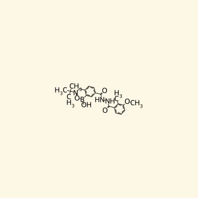 COc1cccc(C(=O)NNC(=O)c2ccc3c(c2)B(O)ON(C(C)(C)C)C3)c1C